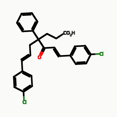 O=C(O)CCC(CC=Cc1ccc(Cl)cc1)(C(=O)C=Cc1ccc(Cl)cc1)c1ccccc1